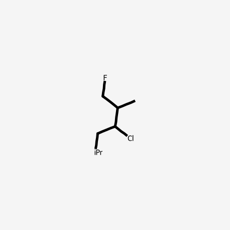 CC(C)CC(Cl)C(C)CF